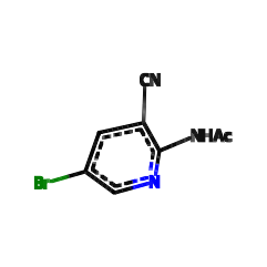 CC(=O)Nc1ncc(Br)cc1C#N